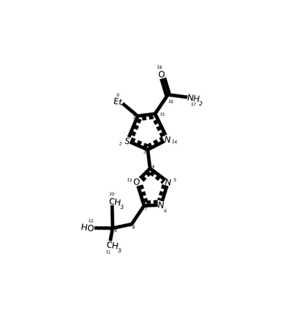 CCc1sc(-c2nnc(CC(C)(C)O)o2)nc1C(N)=O